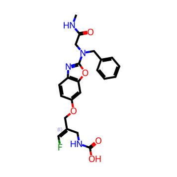 CNC(=O)CN(Cc1ccccc1)c1nc2ccc(OC/C(=C/F)CNC(=O)O)cc2o1